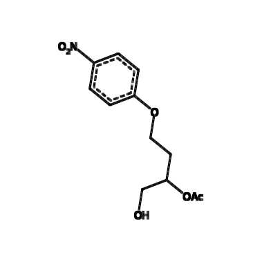 CC(=O)OC(CO)CCOc1ccc([N+](=O)[O-])cc1